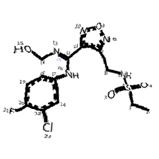 CCS(=O)(=O)NCc1nonc1/C(=N/CO)Nc1ccc(F)c(Cl)c1